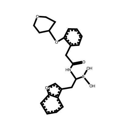 O=C(Cc1ccccc1OC1CCOCC1)NC(Cc1coc2ccccc12)B(O)O